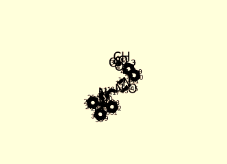 CS(=O)(=O)Oc1ccc2cccc(N3CCN(CCc4cn(C(c5ccccc5)(c5ccccc5)c5ccccc5)cn4)CC3=O)c2c1